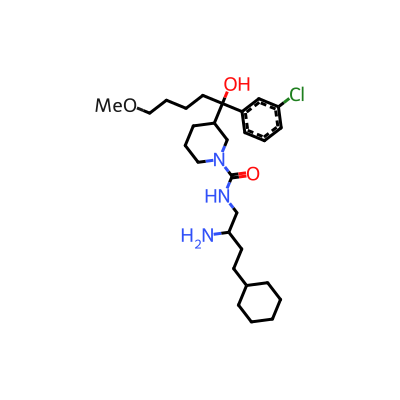 COCCCCC(O)(c1cccc(Cl)c1)C1CCCN(C(=O)NCC(N)CCC2CCCCC2)C1